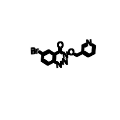 O=c1c2cc(Br)ccc2nnn1OCc1cccnc1